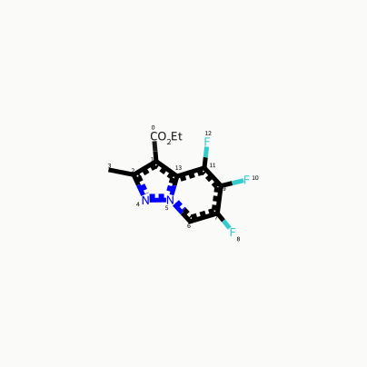 CCOC(=O)c1c(C)nn2cc(F)c(F)c(F)c12